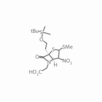 CSC1S[C@]2(CCO[Si](C)(C)C(C)(C)C)C(=O)N(CC(=O)O)[C@@H]2C1[N+](=O)[O-]